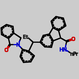 CCCNC(=O)C1c2ccccc2-c2cc(C(CC)c3ccccc3N3Cc4ccccc4C3=O)ccc21